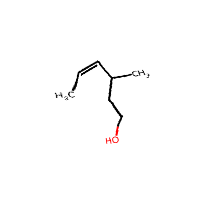 C/C=C\C(C)CCO